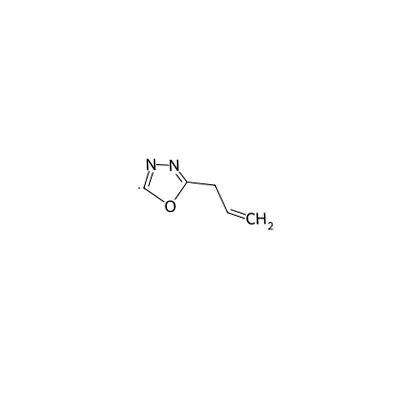 C=CCc1nn[c]o1